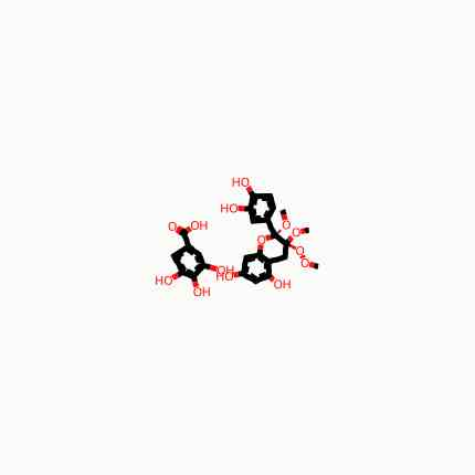 COO[C@@]1(OC)Cc2c(O)cc(O)cc2O[C@@]1(OC)c1ccc(O)c(O)c1.O=C(O)c1cc(O)c(O)c(O)c1